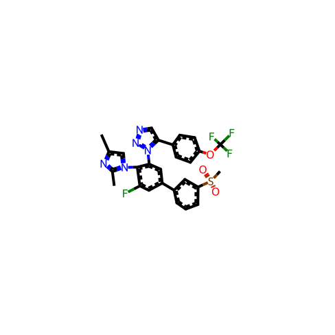 Cc1cn(-c2c(F)cc(-c3cccc(S(C)(=O)=O)c3)cc2-n2nncc2-c2ccc(OC(F)(F)F)cc2)c(C)n1